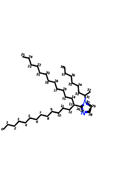 CCCCCCCCCCCCCC(CCCCCCCCCCCC)c1nccn1C(C)CCCCCC